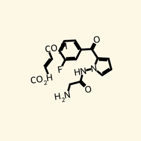 NCC(=O)Nn1cccc1C(=O)c1cccc(F)c1.O=C(O)C=CC(=O)O